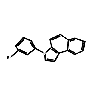 Brc1cccc(-n2ccc3c4ccccc4ccc32)c1